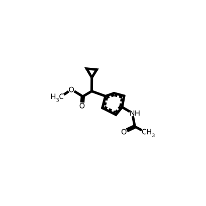 COC(=O)C(c1ccc(NC(C)=O)cc1)C1CC1